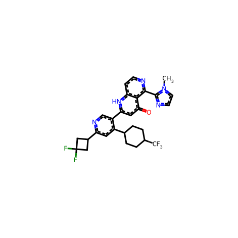 Cn1ccnc1-c1nccc2[nH]c(-c3cnc(C4CC(F)(F)C4)cc3C3CCC(C(F)(F)F)CC3)cc(=O)c12